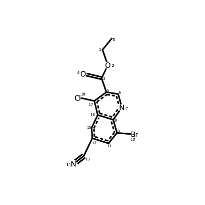 CCOC(=O)c1cnc2c(Br)cc(C#N)cc2c1Cl